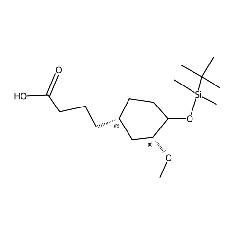 CO[C@@H]1C[C@H](CCCC(=O)O)CCC1O[Si](C)(C)C(C)(C)C